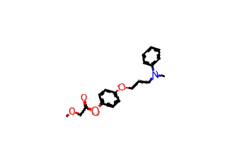 COCC(=O)Oc1ccc(OCCCN(C)c2ccccc2)cc1